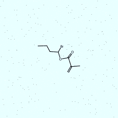 C=C(C)C(=O)OC(Br)CCC